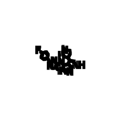 CC(C)c1cnc(-c2ccc(F)cc2)nc1Nc1ccnc2[nH]cc(C3CCN(C)CC3)c12